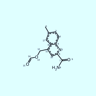 Cc1ccc2nc(C(N)=O)cc(COC=O)c2c1